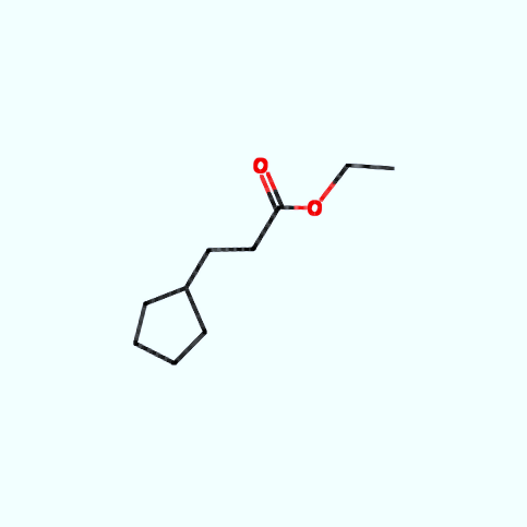 CCOC(=O)CCC1CCCC1